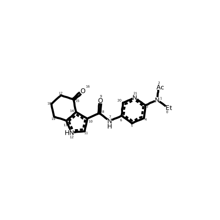 CCN(C(C)=O)c1ccc(NC(=O)c2c[nH]c3c2C(=O)CCC3)cn1